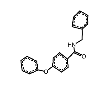 O=C(NCc1ccccc1)c1ccc(Oc2ccccc2)cc1